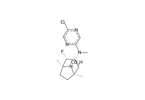 CN(c1cnc(Cl)cn1)[C@@H]1C[C@@]2(C)CC[C@@](C)([C@@H]1F)N2C(=O)O